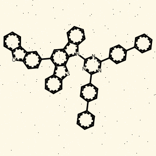 c1ccc(-c2ccc(-c3nc(-c4ccc(-c5ccccc5)cc4)nc(-n4c5ccccc5c5cc(-c6ccc7oc8ccccc8c7c6)c6c7ccccc7sc6c54)n3)cc2)cc1